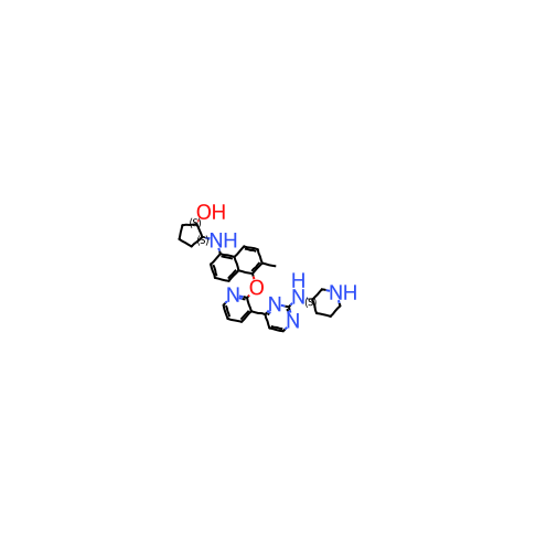 Cc1ccc2c(N[C@H]3CCC[C@@H]3O)cccc2c1Oc1ncccc1-c1ccnc(N[C@H]2CCCNC2)n1